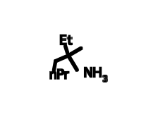 CCCCC(C)(C)CC.N